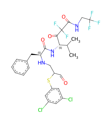 CC(C)[C@H](NC(=O)[C@H](Cc1ccccc1)NCC(C=O)Sc1cc(Cl)cc(Cl)c1)C(=O)C(F)(F)C(=O)NCC(F)(F)F